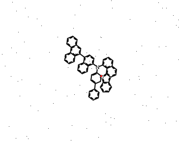 C1=C(c2ccccc2)CCC(N(c2ccc(-c3cc4ccccc4c4ccccc34)c3ccccc23)c2cccc3ccc4c5ccccc5oc4c23)=C1